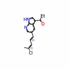 CCC(=O)c1c[nH]c2ncc(/C=C/C=C(\C)Cl)cc12